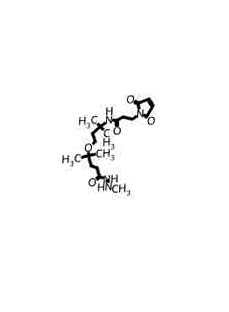 CNNC(=O)CCC(C)(C)OCCC(C)(C)NC(=O)CCN1C(=O)C=CC1=O